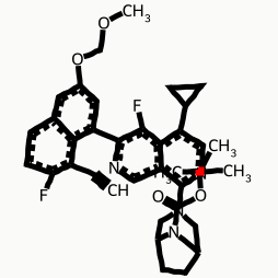 C#Cc1c(F)ccc2cc(OCOC)cc(-c3ncc4c(N5CC6CCC(C5)N6C(=O)OC(C)(C)C)ncc(C5CC5)c4c3F)c12